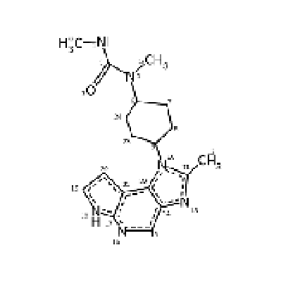 CNC(=O)N(C)C1CCC(n2c(C)nc3cnc4[nH]ccc4c32)CC1